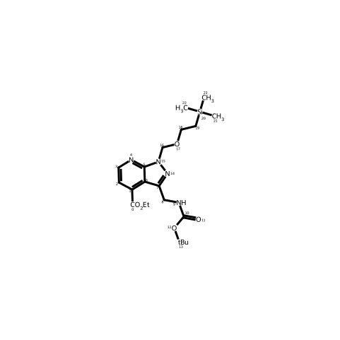 CCOC(=O)c1ccnc2c1c(CNC(=O)OC(C)(C)C)nn2COCC[Si](C)(C)C